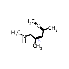 C=C=C(C)/C=C(/C)CNC